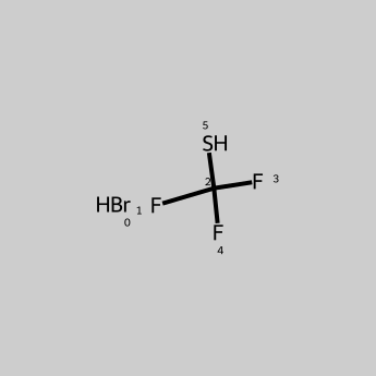 Br.FC(F)(F)S